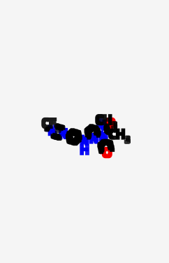 C[C@@H]1C(=O)N(C)c2ccc(Nc3ccc(N4CCN(CC(F)(F)F)CC4)cc3)nc2N1C1CCOCC1